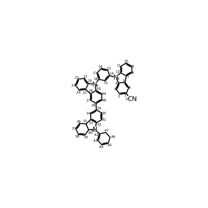 N#Cc1ccc2c(c1)c1ccccc1n2-c1cccc(-n2c3ccccc3c3cc(-c4ccc5c(c4)C4C=CC=CC4N5C4=CC=CCC4)ccc32)c1